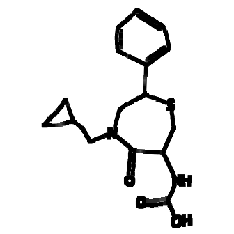 O=C(O)NC1CSC(c2ccccc2)CN(CC2CC2)C1=O